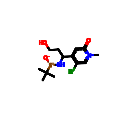 Cn1cc(Br)c(C(CCO)N[S@@+]([O-])C(C)(C)C)cc1=O